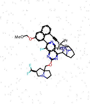 COCOc1cc(-c2ncc3c(C4NCC5CCC4N5C(=O)O)nc(OCC45CCCN4CC(=C(F)F)C5)nc3c2F)c2c(C#C[Si](C(C)C)(C(C)C)C(C)C)cccc2c1